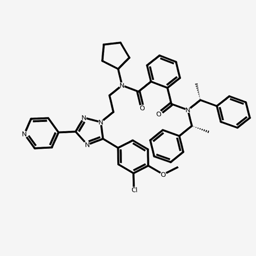 COc1ccc(-c2nc(-c3ccncc3)nn2CCN(C(=O)c2ccccc2C(=O)N([C@H](C)c2ccccc2)[C@H](C)c2ccccc2)C2CCCC2)cc1Cl